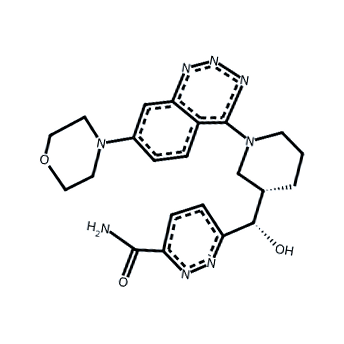 NC(=O)c1ccc([C@@H](O)[C@H]2CCCN(c3nnnc4cc(N5CCOCC5)ccc34)C2)nn1